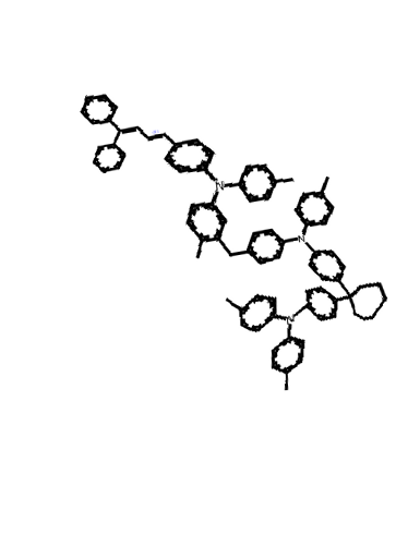 Cc1ccc(N(c2ccc(C)cc2)c2ccc(C3(c4ccc(N(c5ccc(C)cc5)c5ccc(Cc6cc(N(c7ccc(C)cc7)c7ccc(/C=C/C=C(c8ccccc8)c8ccccc8)cc7)ccc6C)cc5)cc4)CCCCC3)cc2)cc1